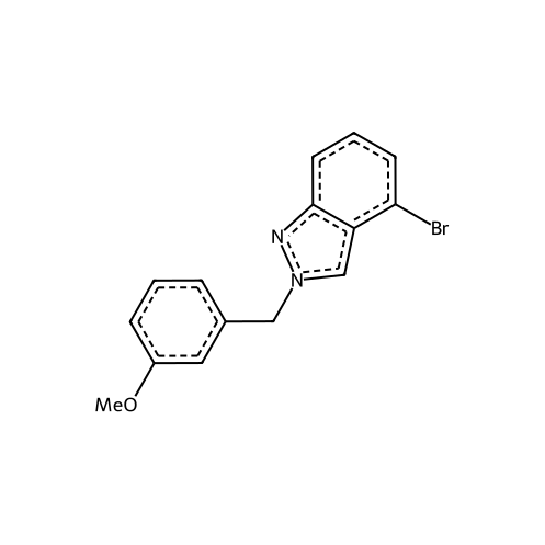 COc1cccc(Cn2cc3c(Br)cccc3n2)c1